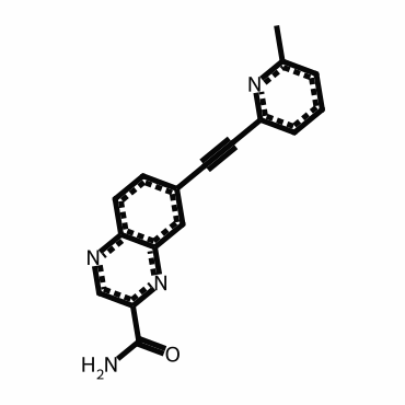 Cc1cccc(C#Cc2ccc3ncc(C(N)=O)nc3c2)n1